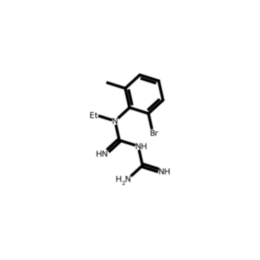 CCN(C(=N)NC(=N)N)c1c(C)cccc1Br